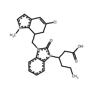 CCCC(CC(=O)O)n1c(=O)n(CC2CC(Cl)=Cc3ccn(C)c32)c2ccccc21